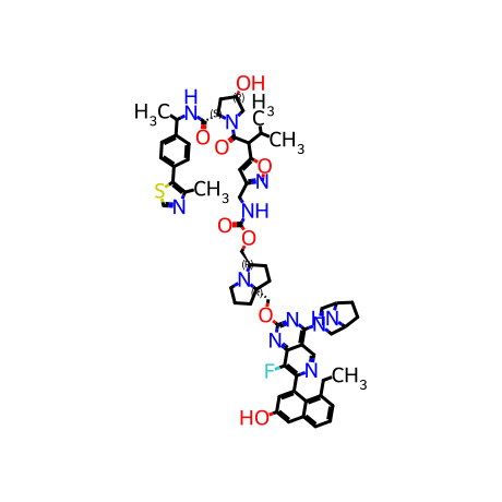 CCc1cccc2cc(O)cc(-c3ncc4c(N5CC6CCC(C5)N6)nc(OC[C@]56CCCN5[C@@H](COC(=O)NCc5cc(C(C(=O)N7C[C@H](O)C[C@H]7C(=O)NC(C)c7ccc(-c8scnc8C)cc7)C(C)C)on5)CC6)nc4c3F)c12